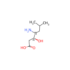 CC(C)[CH2][Tl]([NH2])[C@@H](O)CC(=O)O